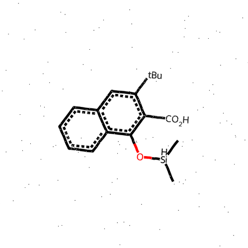 C[SiH](C)Oc1c(C(=O)O)c(C(C)(C)C)cc2ccccc12